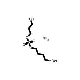 CCCCCCCCCCCCOS(=O)(=O)OCCCO.N